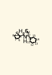 C=CC(NCc1cccs1)c1ccccc1